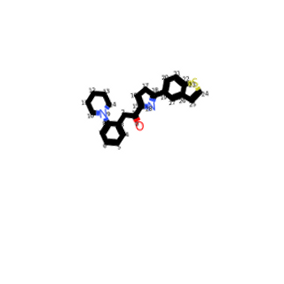 O=C(Cc1ccccc1N1CCCCC1)C1=CCC(c2ccc3sccc3c2)=N1